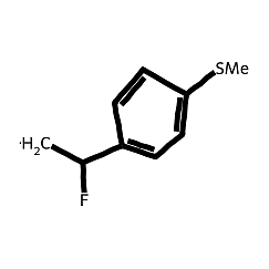 [CH2]C(F)c1ccc(SC)cc1